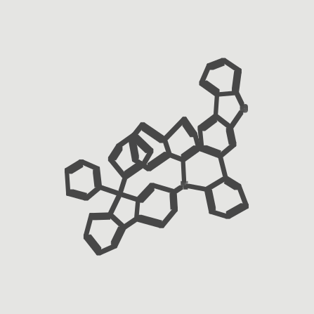 c1ccc(C2(c3ccccc3)c3ccccc3-c3ccc(N(c4ccccc4-c4ccc5c(c4)oc4ccccc45)c4cccc5ccccc45)cc32)cc1